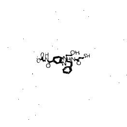 COC(=O)CNC(=O)c1ccc2c(c1)nc(C(Cc1ccccc1)NC(=O)CCS)n2CCO